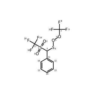 O=S(=O)(C(SOOC(F)(F)F)c1ccccc1)C(F)(F)F